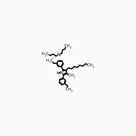 CCCCCCCCC1=C(c2cccc(CC)c2)[N+](=[N-])C(c2cccc(CC)c2)=C1C.CCC[CH2][Ni][CH2]CCC